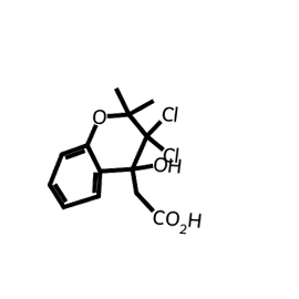 CC1(C)Oc2ccccc2C(O)(CC(=O)O)C1(Cl)Cl